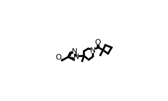 CC1(C(=O)N2CCC(C)(n3cc(C=O)cn3)CC2)CCC1